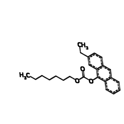 CCCCCCCOC(=O)Oc1c2ccccc2cc2ccc(CC)cc12